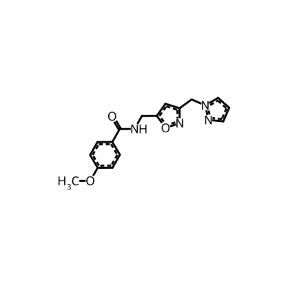 COc1ccc(C(=O)NCc2cc(Cn3cccn3)no2)cc1